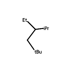 [CH2]C(C)(C)CC(CC)C(C)C